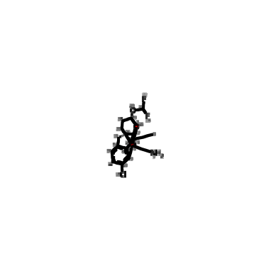 CN1C(=O)C2(N=C1N)c1cc(Cl)ccc1C[C@]21CC[C@@H](OC(F)F)CC1